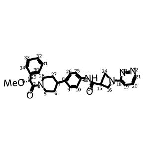 CO[C@@H](C(=O)N1CCC(c2ccc(NC(=O)C3CN(c4cccnn4)C3)cc2)CC1)c1ccccc1